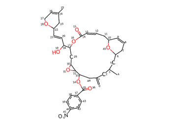 C=C1CC(C)CC2CC=CC(C/C=C\C(=O)OC(C(O)C=CC3CC(C)=CCO3)CC3OC3C(OC(=O)c3ccc([N+](=O)[O-])cc3)C1)O2